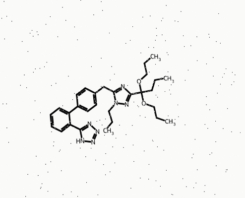 CCCOC(CCC)(OCCC)c1nc(Cc2ccc(-c3ccccc3-c3nnn[nH]3)cc2)n(CCC)n1